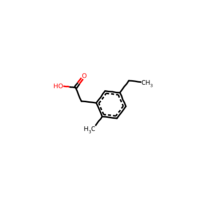 CCc1ccc(C)c(CC(=O)O)c1